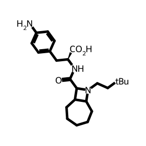 CC(C)(C)CCN1C2CCCCCC2C1C(=O)N[C@@H](Cc1ccc(N)cc1)C(=O)O